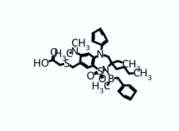 CCCCC1(CC)CN(c2ccccc2)c2cc(N(C)C)c(CSCC(=O)O)cc2S(=O)(=O)N1B(C)Cc1ccccc1